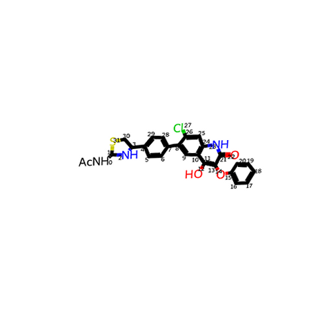 CC(=O)NC1NC(c2ccc(-c3cc4c(O)c(Oc5ccccc5)c(=O)[nH]c4cc3Cl)cc2)CS1